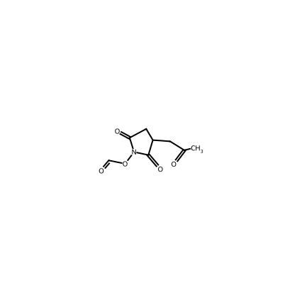 CC(=O)CC1CC(=O)N(OC=O)C1=O